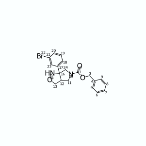 O=C(OCc1ccccc1)N1CC2CONC2(c2cccc(Br)c2)C1